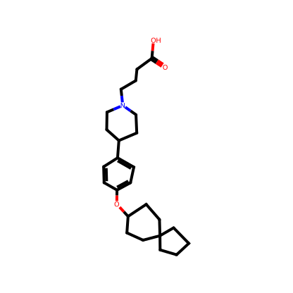 O=C(O)CCCN1CCC(c2ccc(OC3CCC4(CCCC4)CC3)cc2)CC1